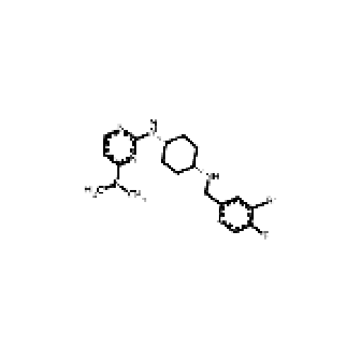 CN(C)c1ccnc(N[C@H]2CC[C@@H](NCc3ccc(F)c(Br)c3)CC2)n1